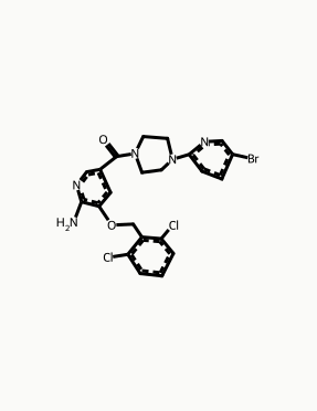 Nc1ncc(C(=O)N2CCN(c3ccc(Br)cn3)CC2)cc1OCc1c(Cl)cccc1Cl